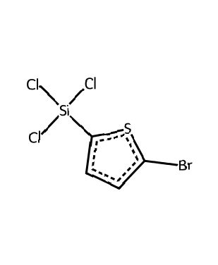 Cl[Si](Cl)(Cl)c1ccc(Br)s1